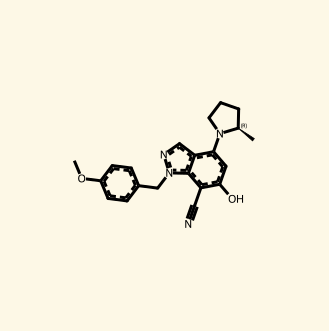 COc1ccc(Cn2ncc3c(N4CCC[C@H]4C)cc(O)c(C#N)c32)cc1